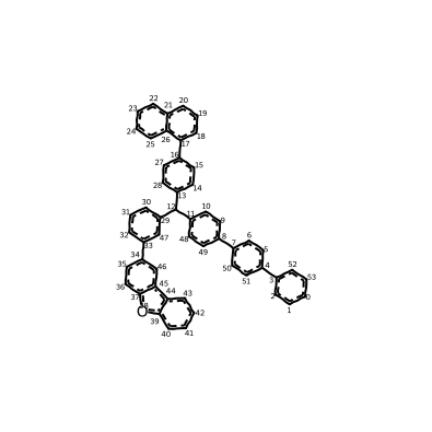 c1ccc(-c2ccc(-c3ccc(C(c4ccc(-c5cccc6ccccc56)cc4)c4cccc(-c5ccc6oc7ccccc7c6c5)c4)cc3)cc2)cc1